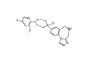 Fc1cnc(C2CCC(Cl)(c3ccc4c(c3)CNCc3nncn3-4)CC2)c(F)c1